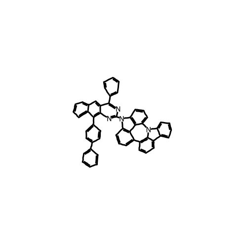 c1ccc(-c2ccc(-c3c4ccccc4cc4c(-c5ccccc5)nc(-n5c6cccc7c8cccc9c%10ccccc%10n(c%10cccc5c%10c76)c89)nc34)cc2)cc1